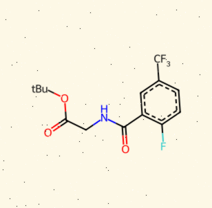 CC(C)(C)OC(=O)CNC(=O)c1cc(C(F)(F)F)ccc1F